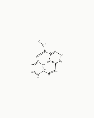 COC(=O)c1cccc(/C=C\c2ccccn2)c1